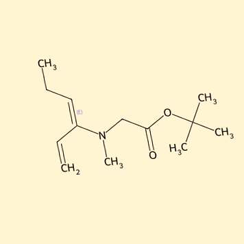 C=C/C(=C\CC)N(C)CC(=O)OC(C)(C)C